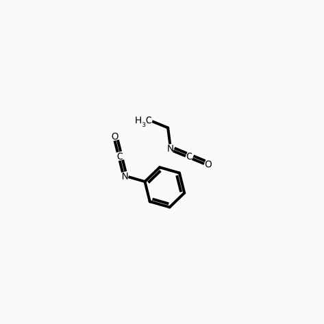 CCN=C=O.O=C=Nc1ccccc1